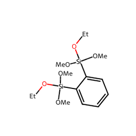 CCO[Si](OC)(OC)c1ccccc1[Si](OC)(OC)OCC